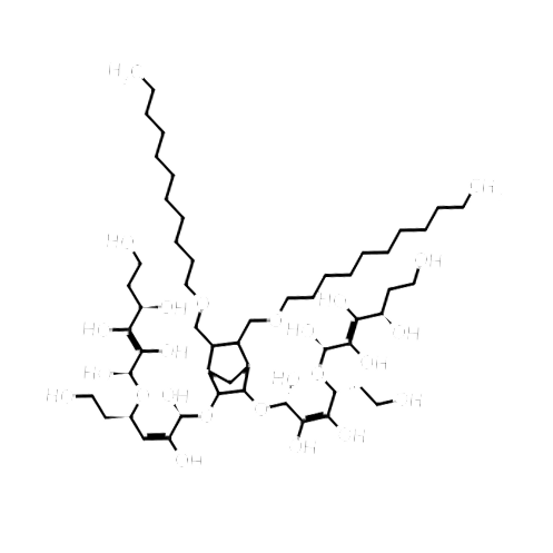 CCCCCCCCCCCOCC1C(COCCCCCCCCCCC)C2CC1C(O[C@H](O)/C(O)=C(/O)[C@@H](CCO)O[C@@H](O)/C(O)=C(\O)[C@H](O)CCO)C2O[C@H](O)/C(O)=C\[C@@H](CCO)O[C@@H](O)/C(O)=C(\O)[C@H](O)CCO